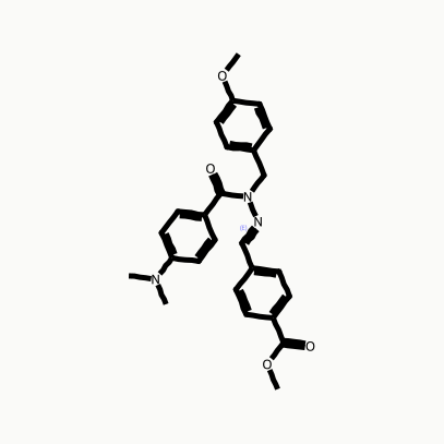 COC(=O)c1ccc(/C=N/N(Cc2ccc(OC)cc2)C(=O)c2ccc(N(C)C)cc2)cc1